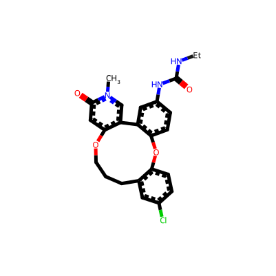 CCNC(=O)Nc1ccc2c(c1)-c1cn(C)c(=O)cc1OCCCc1cc(Cl)ccc1O2